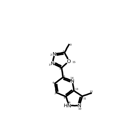 Cc1nnc(-c2ccc3[nH]nc(C)c3n2)o1